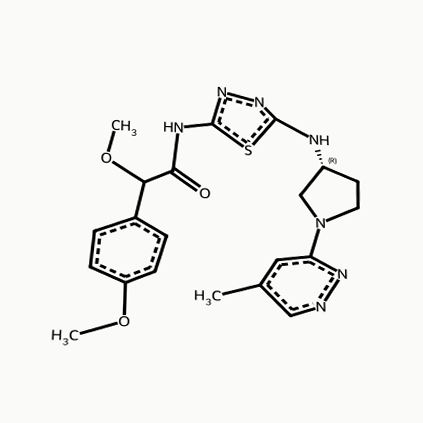 COc1ccc(C(OC)C(=O)Nc2nnc(N[C@@H]3CCN(c4cc(C)cnn4)C3)s2)cc1